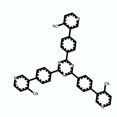 N#Cc1ccncc1-c1ccc(-c2nc(-c3ccc(-c4cnccc4C#N)cc3)nc(-c3ccc(-c4cnccc4C#N)cc3)n2)cc1